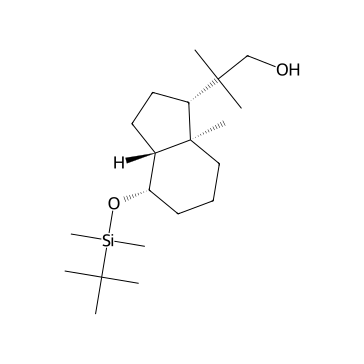 CC(C)(CO)[C@H]1CC[C@H]2[C@@H](O[Si](C)(C)C(C)(C)C)CCC[C@]12C